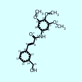 COc1cc(NC(=O)/C=C/c2cccc(CO)c2)cc(OC)c1OC